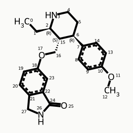 CC[C@H]1NCC[C@@H](c2ccc(OC)cc2)[C@@H]1COc1ccc2c(c1)C(=O)NC2